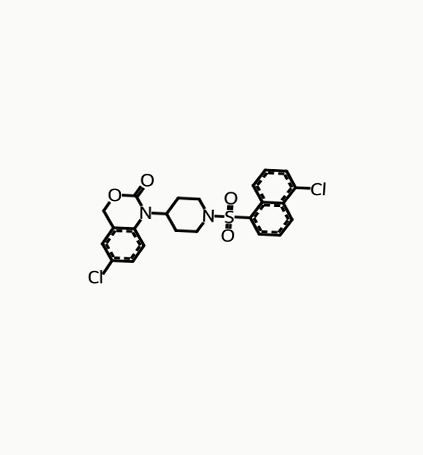 O=C1OCc2cc(Cl)ccc2N1C1CCN(S(=O)(=O)c2cccc3c(Cl)cccc23)CC1